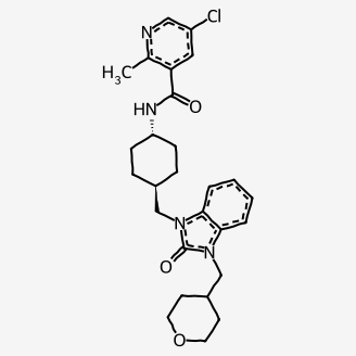 Cc1ncc(Cl)cc1C(=O)N[C@H]1CC[C@H](Cn2c(=O)n(CC3CCOCC3)c3ccccc32)CC1